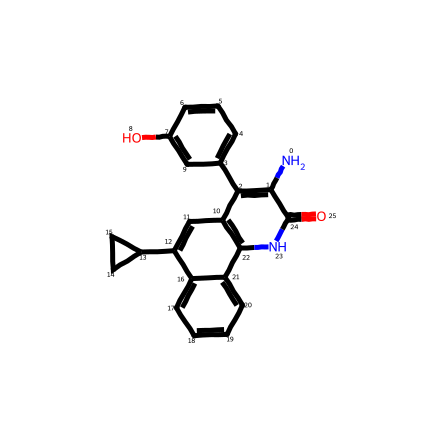 Nc1c(-c2cccc(O)c2)c2cc(C3CC3)c3ccccc3c2[nH]c1=O